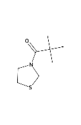 CC(C)(C)C(=O)N1CCSC1